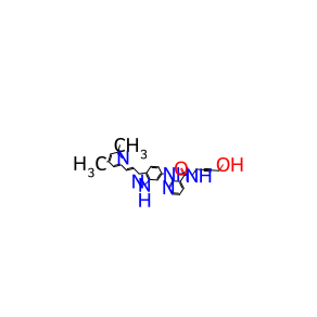 Cc1cc(C)nc(/C=C/c2n[nH]c3cc(Nc4ncccc4C(=O)NCC#CCO)ccc23)c1